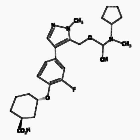 CN(C1CCCC1)C(O)OCc1c(-c2ccc(O[C@H]3CCC[C@H](C(=O)O)C3)c(F)c2)cnn1C